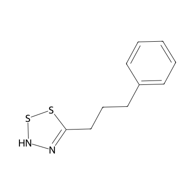 c1ccc(CCCC2=NNSS2)cc1